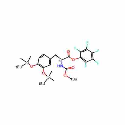 CC(C)(C)OC(=O)N[C@@H](Cc1ccc(O[Si](C)(C)C(C)(C)C)c(O[Si](C)(C)C(C)(C)C)c1)C(=O)Oc1c(F)c(F)c(F)c(F)c1F